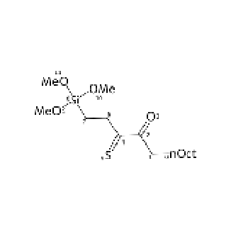 CCCCCCCCCC(=O)C(=S)CC[Si](OC)(OC)OC